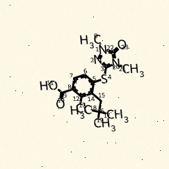 Cn1nc(Sc2ccc(C(=O)O)c(Cl)c2CC(C)(C)C)n(C)c1=O